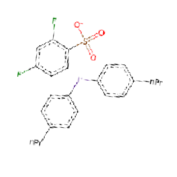 CCCc1ccc([I+]c2ccc(CCC)cc2)cc1.O=S(=O)([O-])c1ccc(F)cc1F